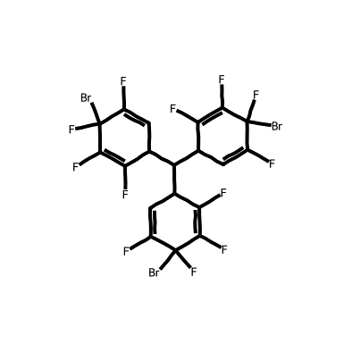 FC1=CC(C(C2C=C(F)C(F)(Br)C(F)=C2F)C2C=C(F)C(F)(Br)C(F)=C2F)C(F)=C(F)C1(F)Br